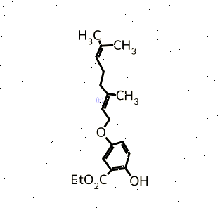 CCOC(=O)c1cc(OC/C=C(\C)CCC=C(C)C)ccc1O